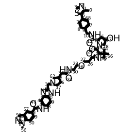 Cc1ncsc1-c1ccc(CNC(=O)[C@@H]2C[C@@H](O)CN2C(=O)[C@@H](NC(=O)CCOCCNC(=O)CC2CCN(Cc3nc4cc(NC(=O)c5ccc6c(cnn6C)c5)ccc4[nH]3)C2)C(C)(C)C)cc1